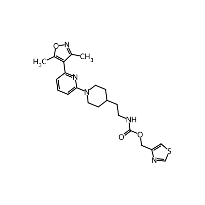 Cc1noc(C)c1-c1cccc(N2CCC(CCNC(=O)OCc3cscn3)CC2)n1